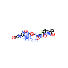 Nc1cc(N2CCC3(CC2)COC3)cnc1C(=O)NCCOCCNCC(=O)N1CCN(C(=O)c2cc(Cc3n[nH]c(=O)c4ccccc34)ccc2F)CC1